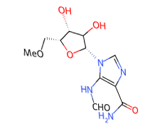 COC[C@H]1O[C@@H](n2cnc(C(N)=O)c2NC=O)C(O)[C@H]1O